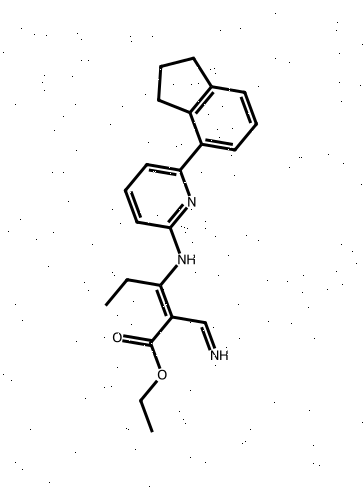 CCOC(=O)/C(C=N)=C(\CC)Nc1cccc(-c2cccc3c2CCC3)n1